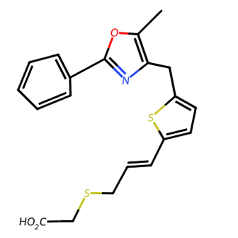 Cc1oc(-c2ccccc2)nc1Cc1ccc(C=CCSCC(=O)O)s1